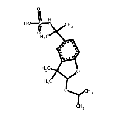 CC(C)OC1Oc2ccc(C(C)(C)NS(=O)(=O)O)cc2C1(C)C